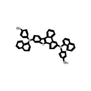 CC(C)(C)c1ccc(N(C2=C3C=CC=CC3CC=C2)c2ccc3c(c2)sc2c4ccc(N(c5ccc(C(C)(C)C)cc5)c5cccc6ccccc56)cc4c4ccccc4c32)cc1